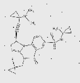 CN(C)C1(C#C[C@@H]2CN=C3N(CC4(F)CC4)C(=O)c4cc(S(=O)(=O)NC5(C)CC5)ccc4N32)CC1